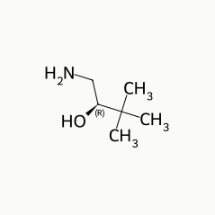 CC(C)(C)[C@@H](O)CN